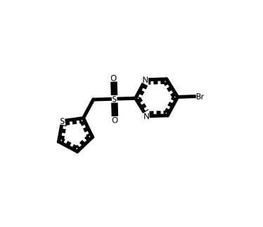 O=S(=O)(Cc1cccs1)c1ncc(Br)cn1